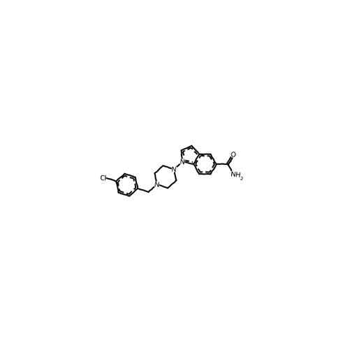 NC(=O)c1ccc2c(ccn2N2CCN(Cc3ccc(Cl)cc3)CC2)c1